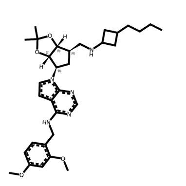 CCCCC1CC(NC[C@H]2C[C@@H](n3ccc4c(NCc5ccc(OC)cc5OC)ncnc43)[C@@H]3OC(C)(C)O[C@H]23)C1